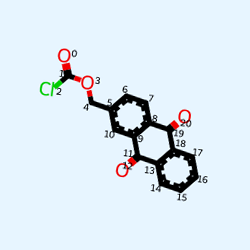 O=C(Cl)OCc1ccc2c(c1)C(=O)c1ccccc1C2=O